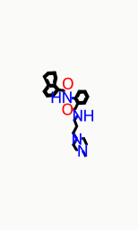 CN1CCN(CCCNC(=O)c2ccccc2NC(=O)c2cccc3ccccc23)CC1